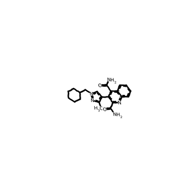 Cc1nn(CC2CCCCC2)cc1-c1c(C(N)=O)nc2ccccc2c1C(N)=O